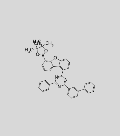 CC1(C)OB(c2cccc3c2oc2cccc(-c4nc(-c5ccccc5)nc(-c5cccc(-c6ccccc6)c5)n4)c23)OC1(C)C